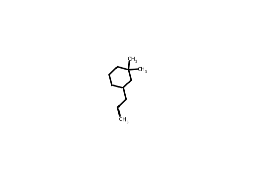 CCCC1CCCC(C)(C)C1